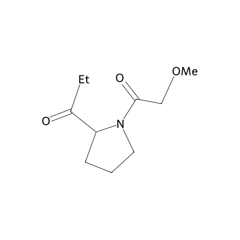 CCC(=O)C1CCCN1C(=O)COC